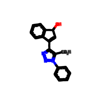 O=C(O)c1c(C2=CC(O)c3ccccc32)nnn1-c1ccccc1